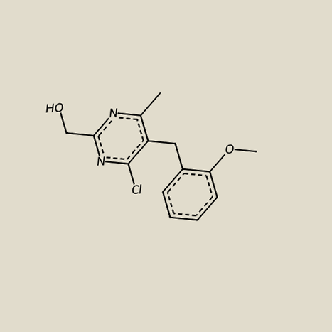 COc1ccccc1Cc1c(C)nc(CO)nc1Cl